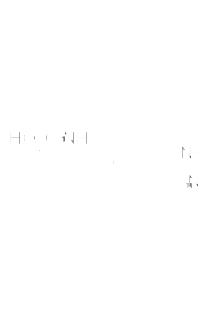 O=C(O)NCCCCCc1cncnc1